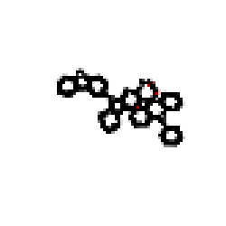 c1ccc(N2c3ccccc3C3(c4ccccc4Sc4cc5c(cc43)c3ccccc3n5-c3ccc4oc5ccccc5c4c3)c3ccccc32)cc1